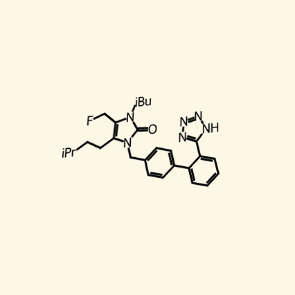 CCC(C)n1c(CF)c(CCC(C)C)n(Cc2ccc(-c3ccccc3-c3nnn[nH]3)cc2)c1=O